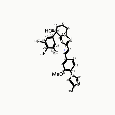 COc1cc(/C=C/c2nc3n(n2)CCC[C@@]3(O)c2cc(F)c(F)c(F)c2)ccc1-n1cnc(C)c1